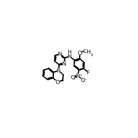 COc1cc(F)c([N+](=O)[O-])cc1Nc1nccc(N2CCOc3ccccc32)n1